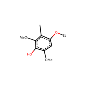 CCOc1cc(OC)c(O)c(OC)c1C